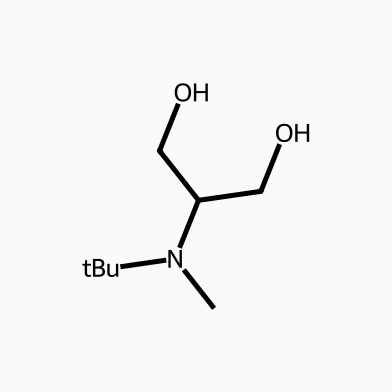 CN(C(CO)CO)C(C)(C)C